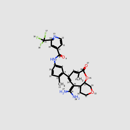 C/C1=C\C(c2cc(NC(=O)c3ccnc(C(F)(F)F)c3)ccc2C)=C/C(=C(N)N)C2CCOCC2OC1=O